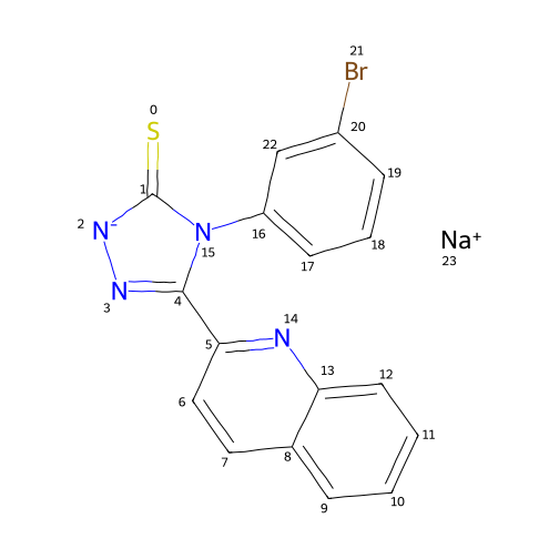 S=c1[n-]nc(-c2ccc3ccccc3n2)n1-c1cccc(Br)c1.[Na+]